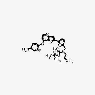 CCCN(Cc1ccc(-c2cc3nccc(Oc4ccc(N)cc4F)c3s2)o1)C(=O)OC(C)(C)C